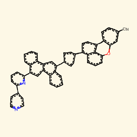 N#Cc1ccc2c(c1)Oc1cccc3c(-c4ccc(-c5cc6c7ccccc7c(-c7cccc(-c8ccncc8)n7)cc6c6ccccc56)cc4)ccc-2c13